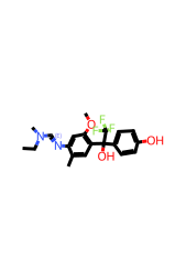 CCN(C)/C=N/c1cc(OC)c(C(O)(c2ccc(O)cc2)C(F)(F)F)cc1C